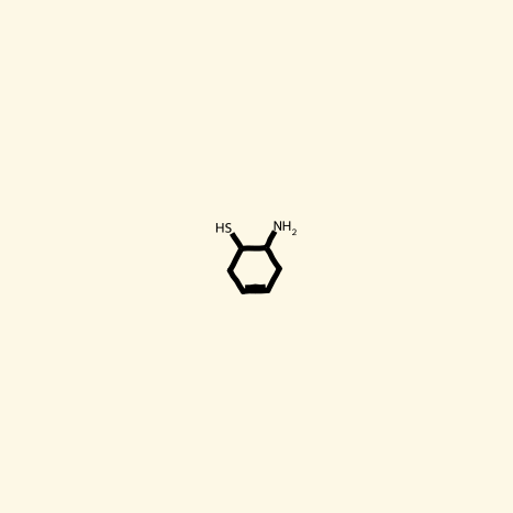 NC1CC=CCC1S